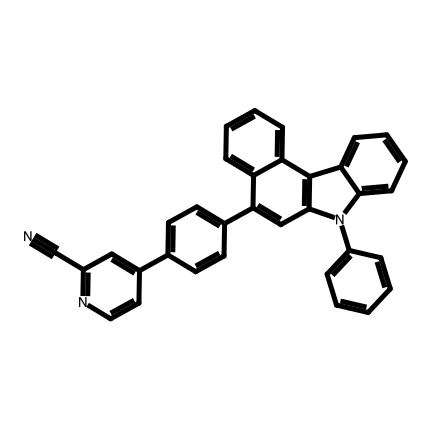 N#Cc1cc(-c2ccc(-c3cc4c(c5ccccc35)c3ccccc3n4-c3ccccc3)cc2)ccn1